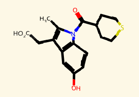 Cc1c(CC(=O)O)c2cc(O)ccc2n1C(=O)C1CCSCC1